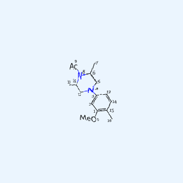 COc1cc(N2CC(C)N(C(C)=O)C(C)C2)ccc1C